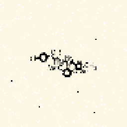 COc1cccc(OC)c1-n1c(NSCC(O)c2ccc(Cl)cc2)nnc1-c1ccn(C)n1